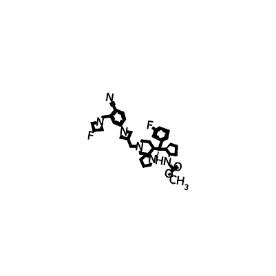 COC(=O)N[C@H]1CCC[C@@H]1[C@](CN1CCCC1)(c1cccc(F)c1)C1CCN(CC2CN(c3ccc(C#N)c(CN4CC(F)C4)c3)C2)CC1